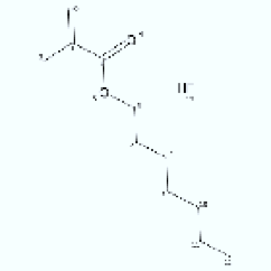 C=C(C)C(=O)OCCCCCCC.F